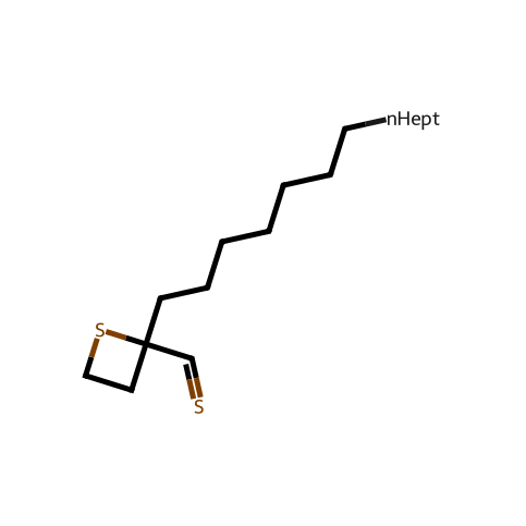 CCCCCCCCCCCCCCC1(C=S)CCS1